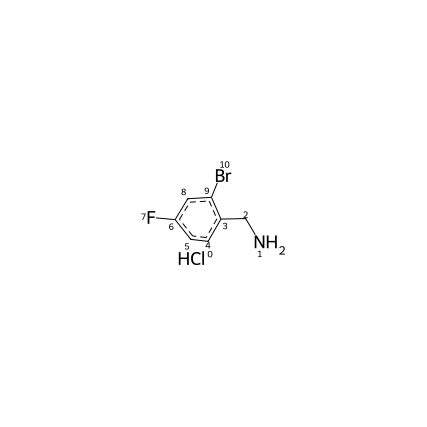 Cl.NCc1ccc(F)cc1Br